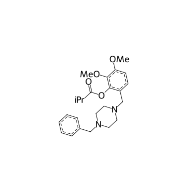 COc1ccc(CN2CCN(Cc3ccccc3)CC2)c(OC(=O)C(C)C)c1OC